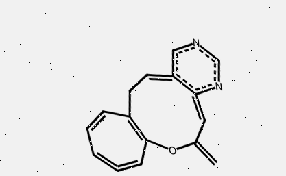 C=C1/C=c2/ncnc/c2=C/CC2=C(C=C=CC=C2)O1